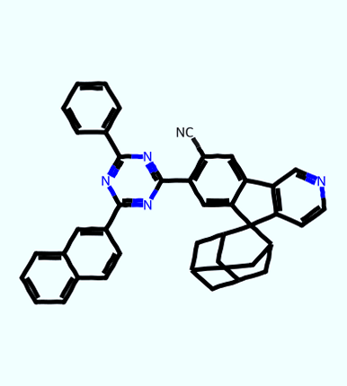 N#Cc1cc2c(cc1-c1nc(-c3ccccc3)nc(-c3ccc4ccccc4c3)n1)C1(c3ccncc3-2)C2CC3CC(C2)CC1C3